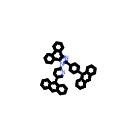 c1ccc2c(-c3ccc(-c4nc5c6ccccc6c6ccccc6c5n4-c4ccc(-c5c6ccccc6cc6ccccc56)cn4)cc3)c3ccccc3cc2c1